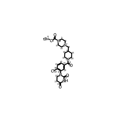 CC(C)(C)OC(=O)N1CCN(CC2CCN(C(=O)c3ccc(Cl)c(N4CCC(=O)NC4=O)c3)CC2)CC1